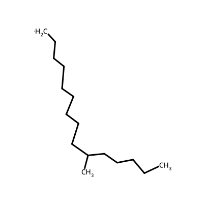 [CH2]CCCCCCCCC(C)CCCCC